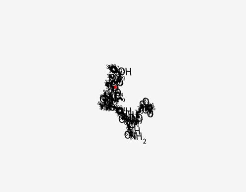 CCC(C)[C@@H]([C@@H](CC(=O)N1CCC[C@H]1[C@H](OC)[C@@H](C)C(=O)N[C@H](C)[C@@H](O)c1ccc(C)cc1)OC)N(C)C(=O)[C@@H](NC(=O)[C@H](C(C)C)N(C)C(=O)OCc1ccc(NC(=O)[C@H](CCCNC(N)=O)NC(=O)[C@@H](NC(=O)CCCC(=O)ON2C(=O)CCC2=O)C(C)C)cc1)C(C)C